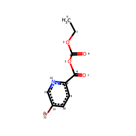 CCOC(=O)OC(=O)c1ccc(Br)cn1